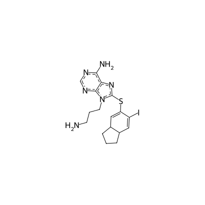 NCCCn1c(SC2=CC3CCCC3C=C2I)nc2c(N)ncnc21